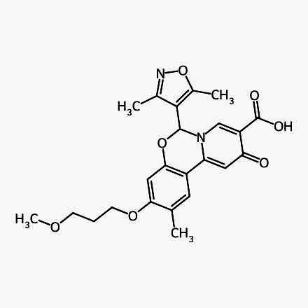 COCCCOc1cc2c(cc1C)-c1cc(=O)c(C(=O)O)cn1C(c1c(C)noc1C)O2